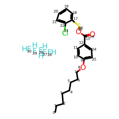 CCCCCCCCOc1ccc(C(=O)OSc2ccccc2Cl)cc1.F.F.F.F.F